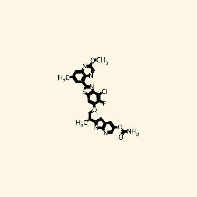 COc1cnc2c(-c3nc4c(Cl)c(F)c(OC[C@H](C)C5=Nc6ncc(OC(N)=O)cc6C5)cc4s3)cc(C)cc2n1